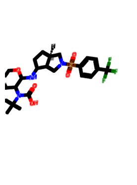 CC(C)(C)N(C(=O)O)C1CCCOC1NC1CC[C@H]2CN(S(=O)(=O)c3ccc(C(F)(F)F)cc3)CC12